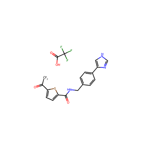 O=C(NCc1ccc(-c2c[nH]cn2)cc1)c1ccc(C(=O)C(F)(F)F)s1.O=C(O)C(F)(F)F